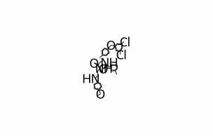 COc1ccc(NCCNC(=O)[C@H](Cc2ccc(Oc3cc(Cl)cc(Cl)c3)cc2)NC(=O)c2cccc(C)c2)cc1